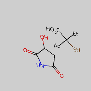 CCC(S)(C(C)=O)C(=O)O.O=C1CC(O)C(=O)N1